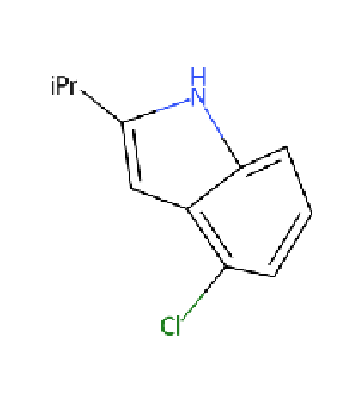 CC(C)c1cc2c(Cl)cccc2[nH]1